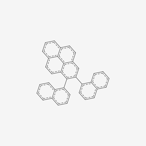 c1ccc2c(-c3cc4ccc5cccc6ccc(c3-c3cccc7ccccc37)c4c56)cccc2c1